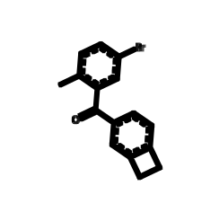 Cc1ccc(Br)cc1C(=O)c1ccc2c(c1)CC2